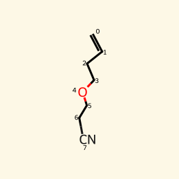 C=CCCOCCC#N